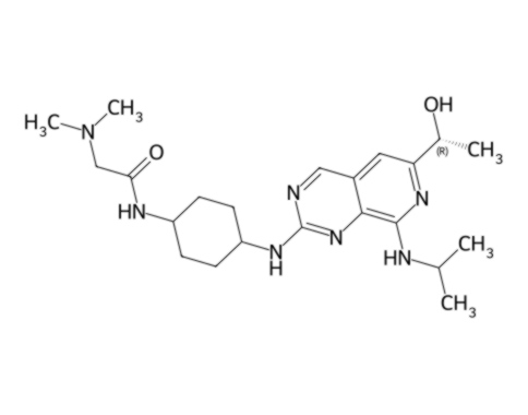 CC(C)Nc1nc([C@@H](C)O)cc2cnc(NC3CCC(NC(=O)CN(C)C)CC3)nc12